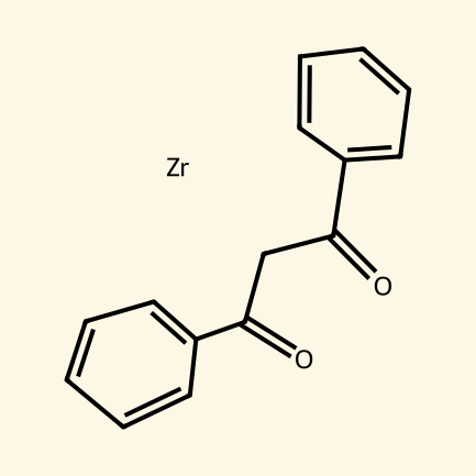 O=C(CC(=O)c1ccccc1)c1ccccc1.[Zr]